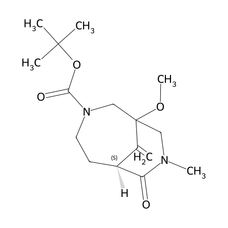 C=C1[C@@H]2CCN(C(=O)OC(C)(C)C)CC1(OC)CN(C)C2=O